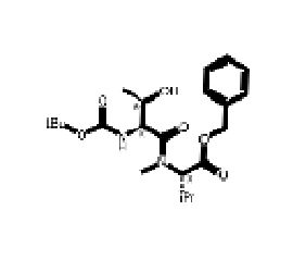 CC(C)[C@@H](C(=O)OCc1ccccc1)N(C)C(=O)[C@@H](NC(=O)OC(C)(C)C)[C@@H](C)O